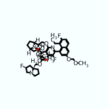 CCc1c(F)ccc2cc(OCOC)cc(-c3nc4c5c(nc(OC[C@@]67CCCN6C[C@@H](F)C7)nc5c3F)N3C[C@@H]5CC[C@H]([C@@H]3CO4)N5C(=O)OC(C)(C)C)c12